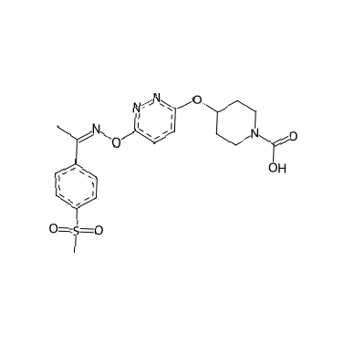 CC(=NOc1ccc(OC2CCN(C(=O)O)CC2)nn1)c1ccc(S(C)(=O)=O)cc1